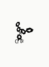 Clc1ccc(-n2c3ccc(-c4ccccc4)cc3c3cc(-c4ccccc4)ccc32)cc1Br